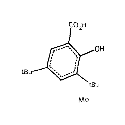 CC(C)(C)c1cc(C(=O)O)c(O)c(C(C)(C)C)c1.[Mo]